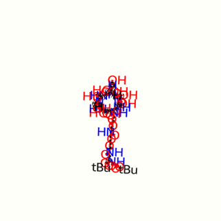 C[C@@H](O)[C@@H]1NC(=O)[C@H]([C@H](O)[C@@H](O)c2ccc(O)cc2)NC(=O)[C@@H]2C[C@@H](O)CN2C(=O)[C@H]([C@@H](C)O)NC(=O)[C@@H](NC(=O)COCCOCCNC(=O)COCCOCCNC(=O)CC[C@H](NC(=O)CC(=O)OC(C)(C)C)C(=O)OC(C)(C)C)C[C@@H](O)[C@H](O)NC(=O)[C@@H]2[C@@H](O)[C@@H](C)CN2C1=O